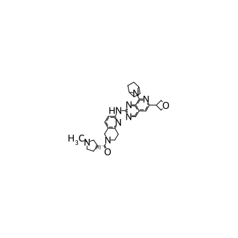 CN1CC[C@@H](C(=O)N2CCc3nc(Nc4ncc5cc(C6COC6)nc(N6C7CCC6CC7)c5n4)ccc3C2)C1